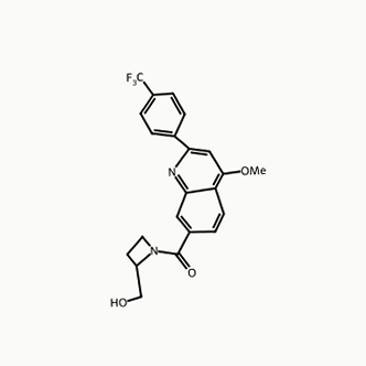 COc1cc(-c2ccc(C(F)(F)F)cc2)nc2cc(C(=O)N3CCC3CO)ccc12